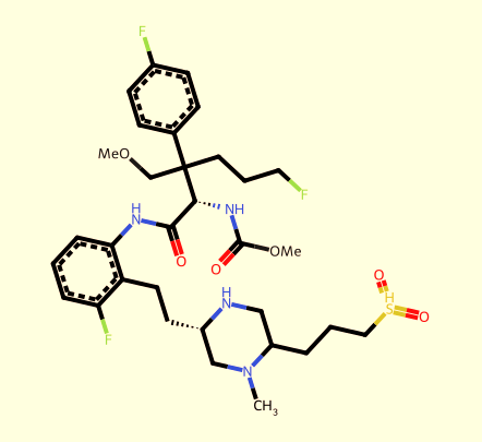 COCC(CCCF)(c1ccc(F)cc1)[C@H](NC(=O)OC)C(=O)Nc1cccc(F)c1CC[C@H]1CN(C)C(CCC[SH](=O)=O)CN1